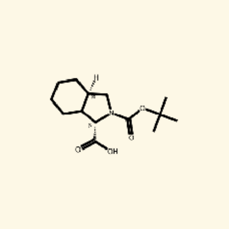 CC(C)(C)OC(=O)N1C[C@@H]2CCCCC2[C@H]1C(=O)O